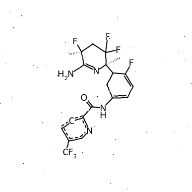 C[C@]1(F)CC(F)(F)[C@@](C)(C2CC(NC(=O)c3ccc(C(F)(F)F)cn3)=CC=C2F)N=C1N